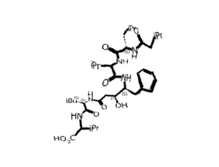 CC[C@H](C)[C@H](NC(=O)C[C@H](O)[C@H](Cc1ccccc1)NC(=O)C(NC(=O)[C@H](CC(C)C)NC(=O)CC(C)C)C(C)C)C(=O)NC(C(=O)O)C(C)C